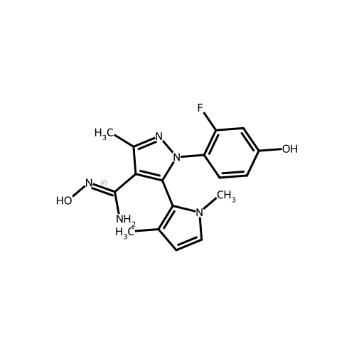 Cc1ccn(C)c1-c1c(/C(N)=N/O)c(C)nn1-c1ccc(O)cc1F